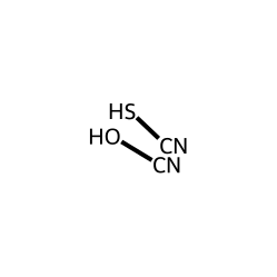 N#CO.N#CS